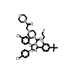 CC(C)(C)c1ccc(C2=N[C@@H](c3ccc(Cl)cc3)[C@@H](c3ccc(Cl)cc3)N2C(=O)N2CCN(CC(=O)N3CCOCC3)CC2)c(OCCF)c1